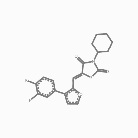 O=C1C(=Cc2occc2-c2ccc(F)c(F)c2)SC(=S)N1C1CCCCC1